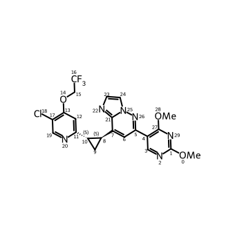 COc1ncc(-c2cc([C@H]3C[C@@H]3c3cc(OCC(F)(F)F)c(Cl)cn3)c3nccn3n2)c(OC)n1